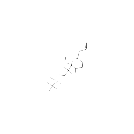 C=CCC1CCC(O)[C@](OC)(C(C)(C)CO[Si](C)(C)C(C)(C)C)O1